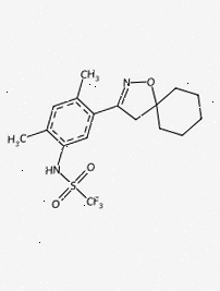 Cc1cc(C)c(C2=NOC3(CCCCC3)C2)cc1NS(=O)(=O)C(F)(F)F